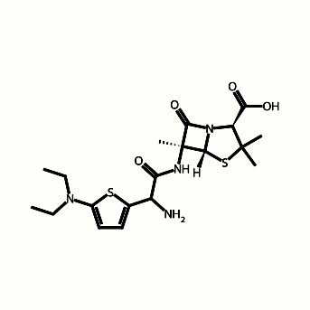 CCN(CC)c1ccc(C(N)C(=O)N[C@@]2(C)C(=O)N3[C@@H](C(=O)O)C(C)(C)S[C@@H]32)s1